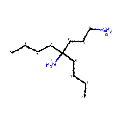 CCCCC(N)(CCCC)CCCN